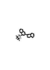 CC1(C)OB(c2cc(-c3ccc4ccccc4c3)cc3ccccc23)OC1(C)C